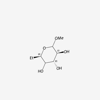 CC[C@H]1OC(OC)[C@@H](O)[C@H](O)C1O